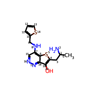 CC(N)Cc1sc2c(NCc3cccs3)cnnc2c1O